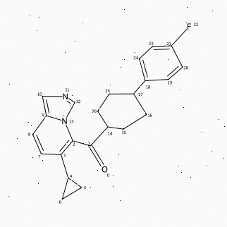 O=C(c1c(C2CC2)ccc2cncn12)C1CCC(c2ccc(F)cc2)CC1